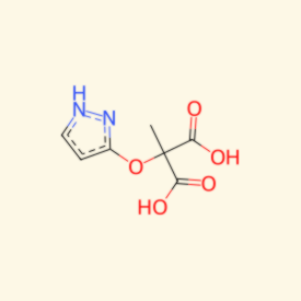 CC(Oc1cc[nH]n1)(C(=O)O)C(=O)O